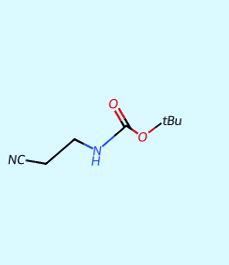 CC(C)(C)OC(=O)NCCC#N